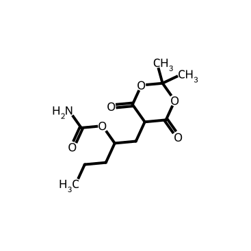 CCCC(CC1C(=O)OC(C)(C)OC1=O)OC(N)=O